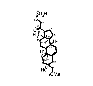 COC[C@@]1(O)CC[C@H]2C(=CC[C@@H]3[C@@H]2CC[C@]2(C)[C@@H](C(=O)CSS(=O)(=O)O)CC[C@@H]32)C1